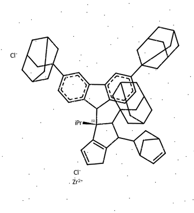 CC(C)[C@]1(C2c3ccc(C45CC6CC(CC(C6)C4)C5)cc3-c3cc(C45CC6CC(CC(C6)C4)C5)ccc32)C2=C(CC=C2)C(C2CC3C=CC2C3)C1C12CC3CC(CC(C3)C1)C2.[Cl-].[Cl-].[Zr+2]